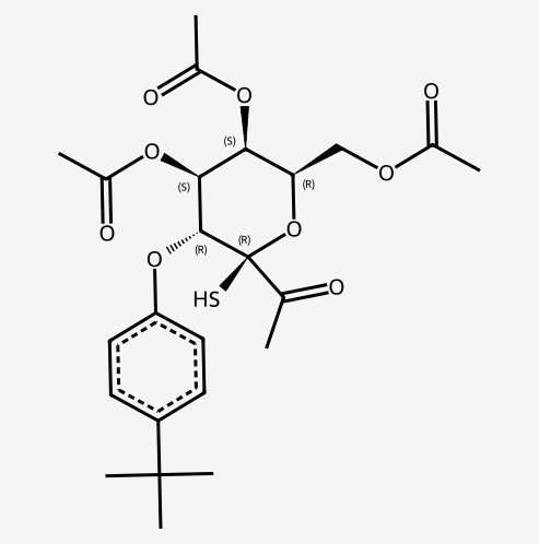 CC(=O)OC[C@H]1O[C@](S)(C(C)=O)[C@H](Oc2ccc(C(C)(C)C)cc2)[C@@H](OC(C)=O)[C@H]1OC(C)=O